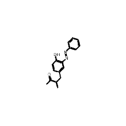 CC(=O)C(C)Cc1ccc(O)c(/N=N/c2ccccc2)c1